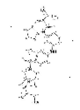 Cc1nc(Nc2ncc3cc(C(=O)N(C)C)n(C4CCCC4)c3n2)ccc1C(=O)N1CC2CC3(C(=O)OC(C)(C)C)CC(C1)N23